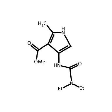 CCN(CC)C(=O)Nc1c[nH]c(C)c1C(=O)OC